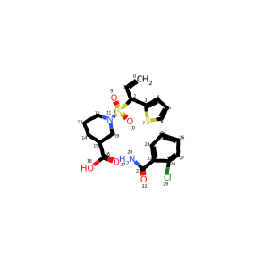 C=CC(c1cccs1)S(=O)(=O)N1CCCC(C(=O)O)C1.NC(=O)c1ccccc1Cl